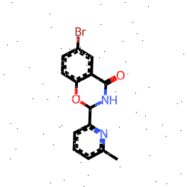 Cc1cccc(C2NC(=O)c3cc(Br)ccc3O2)n1